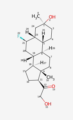 C[C@]1(O)CC[C@@H]2[C@H]3CC[C@]4(C)[C@@H](C(=O)CO)CC[C@H]4[C@@H]3C[C@@H](F)[C@@H]2C1